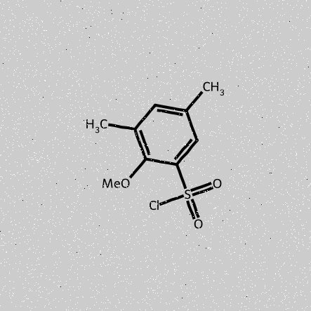 COc1c(C)cc(C)cc1S(=O)(=O)Cl